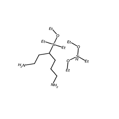 CCO[SiH](CC)OCC.CCO[Si](CC)(CC)C(CCN)CCCN